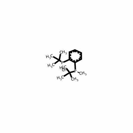 C[P@@](c1ccccc1[P@](C)C(C)(C)C)C(C)(C)C